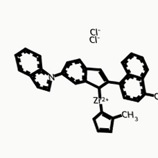 CC1=[C]([Zr+2][CH]2C(c3ccc(C)c4ccccc34)=Cc3ccc(-n4ccc5ccccc54)cc32)CC=C1.[Cl-].[Cl-]